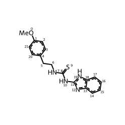 COc1ccc(CCNC(=S)Nc2nc3ccccc3[nH]2)cc1